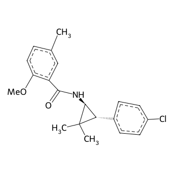 COc1ccc(C)cc1C(=O)N[C@H]1[C@H](c2ccc(Cl)cc2)C1(C)C